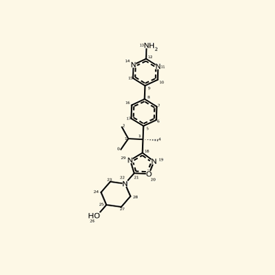 CC(C)[C@@](C)(c1ccc(-c2cnc(N)nc2)cc1)c1noc(N2CCC(O)CC2)n1